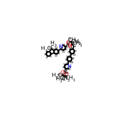 CC1(C)c2ccccc2-c2ccc(-c3ccc(B4OC(C)(C)C(C)(Cc5ccc(-c6ccc(-c7ccc(B8OC(C)(C)C(C)(C)O8)cn7)cc6)cc5)O4)cn3)cc21